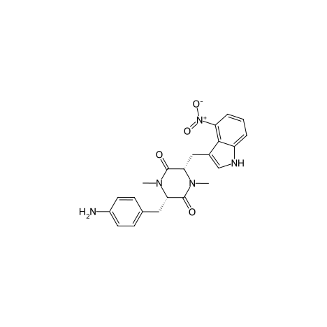 CN1C(=O)[C@H](Cc2c[nH]c3cccc([N+](=O)[O-])c23)N(C)C(=O)[C@@H]1Cc1ccc(N)cc1